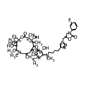 CC[C@H]1OC(=O)[C@H](C)[C@@H](O)[C@H](C)[C@@H](O[C@@H]2O[C@H](C)C[C@H](N(C)CCCCc3cn(C[C@H]4CN(c5cccc(F)c5)C(=O)O4)nn3)[C@H]2O)[C@](C)(O)C[C@@H](C)CN(C)[C@H](C)[C@@H](O)[C@]1(C)O